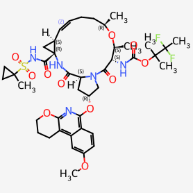 COc1ccc2c(O[C@@H]3C[C@H]4C(=O)N[C@]5(C(=O)NS(=O)(=O)C6(C)CC6)C[C@H]5/C=C\CC[C@@H](C)O[C@@H](C)[C@H](NC(=O)OC(C)(C)C(C)(F)F)C(=O)N4C3)nc3c(c2c1)CCCO3